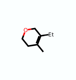 CCC1=C(C)CCOC1